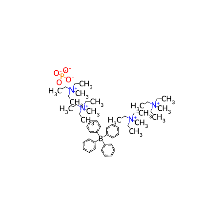 CC[N+](C)(CC)CC.CC[N+](C)(CC)CC.CC[N+](C)(CC)CC.CC[N+](C)(CC)CC.O=P([O-])([O-])[O-].c1ccc([B-](c2ccccc2)(c2ccccc2)c2ccccc2)cc1